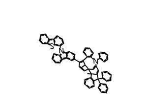 CC1C2=C(c3ccc4c(c3)c3ccccc3n4-c3cccc4c3sc3ccccc34)C=CC13C=C(C=C1C(c4ccccc4)(c4ccccc4)c4ccccc4C13C)N(c1ccccc1)c1ccccc12